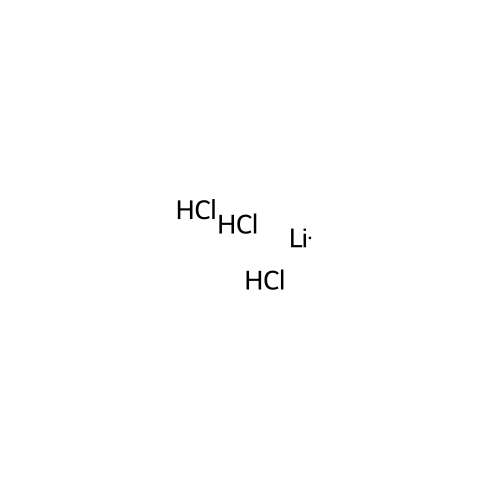 Cl.Cl.Cl.[Li]